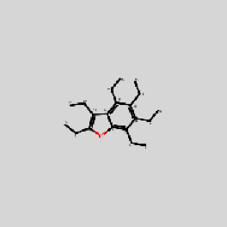 CCc1oc2c(CC)c(CC)c(CC)c(CC)c2c1CC